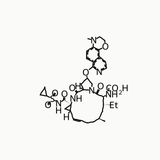 CC[C@@H]1C[C@@H](C)CC/C=C\[C@@H]2C[C@@]2(C(=O)NS(=O)(=O)C2CC2)NC(=O)[C@@H]2C[C@@H](Oc3nccc4c5c(ccc34)N(C)CCO5)CN2C(=O)[C@H]1NC(=O)O